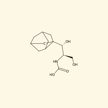 O=C(O)N[C@H](CO)[C@@H](O)C12CC3CC(CC1C3)C2